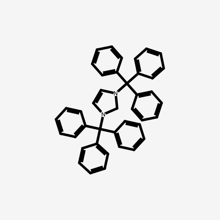 C1=CN(C(c2ccccc2)(c2ccccc2)c2ccccc2)CN1C(c1ccccc1)(c1ccccc1)c1ccccc1